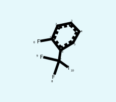 Fc1ccccc1C(F)(F)I